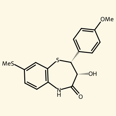 COc1ccc([C@H]2Sc3cc(SC)ccc3NC(=O)[C@H]2O)cc1